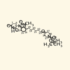 Cn1c(=O)n(C2CCC(=O)NC2=O)c2cccc(CCCCCCOC3CCN(C(=O)OC(C)(C)C)CC3)c21